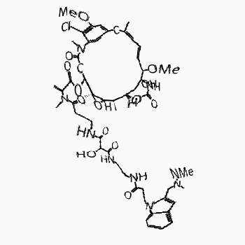 CNN(C)Cc1cc2ccccc2n1CCC(=O)NCCNC(=O)C(O)C(=O)NCCC(=O)N(C)C(C)C(=O)O[C@H]1CC(=O)N(C)c2cc(cc(OC)c2Cl)C/C(C)=C/C=C/[C@@H](OC)[C@@]2(O)C[C@H](OC(=O)N2)[C@@H](C)[C@@H]2O[C@@]12C